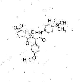 COc1ccc(C(C(=O)Nc2ccc([Si](C)(C)C)cc2)N(C)C(=O)C2CCS(=O)(=O)C2)cc1